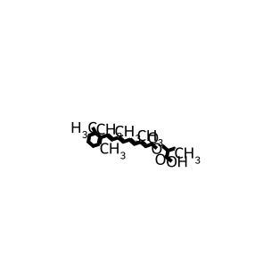 CCC(COC(=O)/C=C(C)/C=C/C=C(C)/C=C/C1=C(C)CCCC1(C)C)C(=O)O